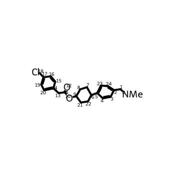 CNCc1ccc(C2CCC(OC(=O)Cc3ccc(Cl)cc3)CC2)cc1